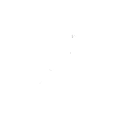 Cc1cc(COC=O)sc1Br